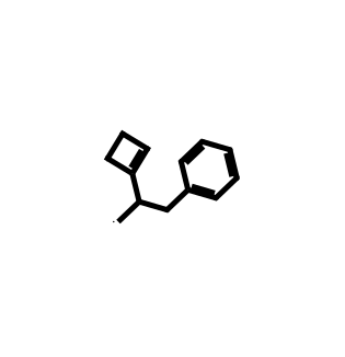 [CH2]C(Cc1ccccc1)C1=CCC1